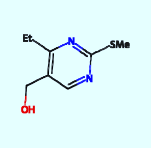 CCc1nc(SC)ncc1CO